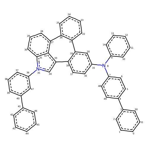 c1ccc(-c2ccc(N(c3ccccc3)c3ccc4c(c3)-c3ccccc3-c3cccc5c3c-4cn5-c3cccc(-c4ccccc4)c3)cc2)cc1